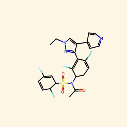 CCn1cc(-c2ccncc2)c(C2=C(F)C(N(C(C)=O)S(=O)(=O)C3C=C(F)C=CC3F)CC=C2F)n1